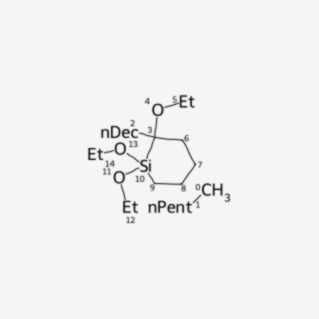 CCCCCC.CCCCCCCCCCC1(OCC)CCCC[Si]1(OCC)OCC